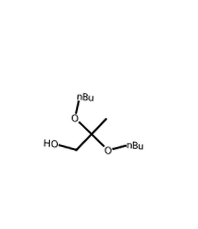 CCCCOC(C)(CO)OCCCC